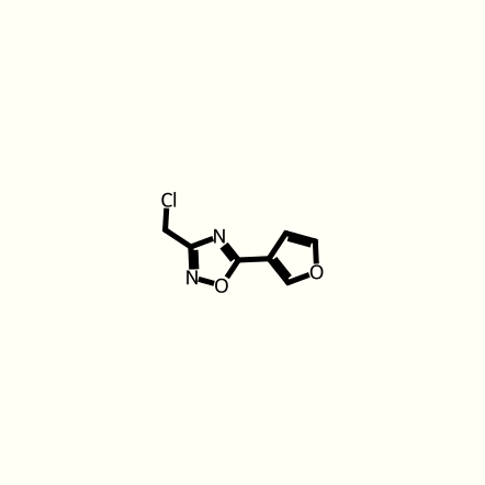 ClCc1noc(-c2ccoc2)n1